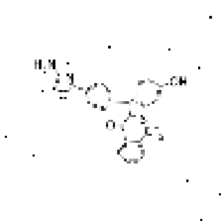 Nc1coc(-c2ccc(-c3c(C(=O)c4ccccc4C(F)(F)F)sc4cc(O)ccc34)cc2)n1